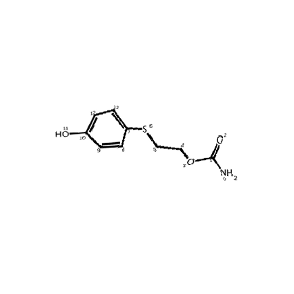 NC(=O)OCCSc1ccc(O)cc1